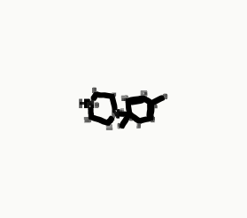 CC1=CCC(C)(N2CCNCC2)C=C1